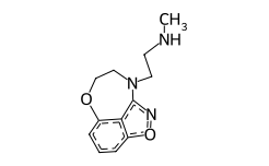 CNCCN1CCOc2cccc3onc1c23